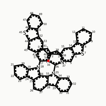 c1cc(-c2ccc3sc4ccccc4c3c2)cc(-n2c3ccccc3c3ccc4c5ccccc5n(-c5nccc(-c6ccc7sc8ccccc8c7c6)n5)c4c32)c1